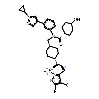 C=C(/C=C\c1c(C)c(F)nn1C)[C@H]1CC[C@H](CN(c2cccc(-c3cnn(C4CC4)c3)c2)C(=O)[C@H]2CC[C@H](O)CC2)CC1